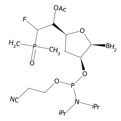 B[C@@H]1O[C@H](C(OC(C)=O)C(F)P(C)(C)=O)C[C@@H]1OP(OCCC#N)N(C(C)C)C(C)C